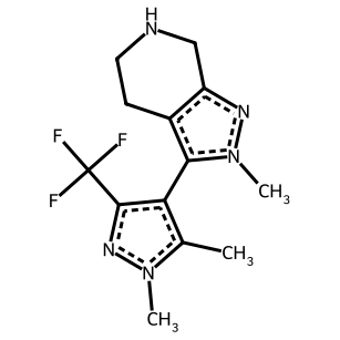 Cc1c(-c2c3c(nn2C)CNCC3)c(C(F)(F)F)nn1C